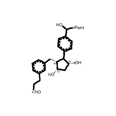 CCCCCC(O)c1ccc(C2[C@H](O)C[C@H](O)[C@@H]2Cc2cccc(CCC=O)c2)cc1